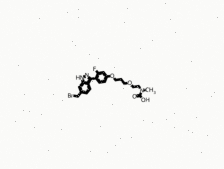 CN(CCOCCCOc1ccc(-c2n[nH]c3cc(CBr)ccc23)c(F)c1)C(=O)O